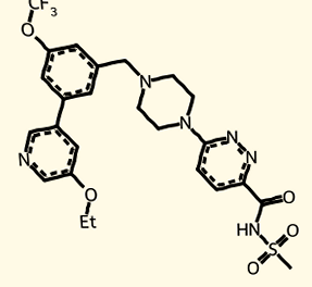 CCOc1cncc(-c2cc(CN3CCN(c4ccc(C(=O)NS(C)(=O)=O)nn4)CC3)cc(OC(F)(F)F)c2)c1